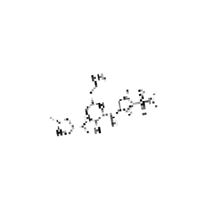 Cc1cc(NC2=NC(CCN)=CN3C2=NCC3C2C=NN(C)C2)sc1S(=O)(=O)N(C)C